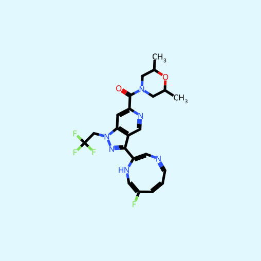 CC1CN(C(=O)c2cc3c(cn2)c(-c2cncccc(F)c[nH]2)nn3CC(F)(F)F)CC(C)O1